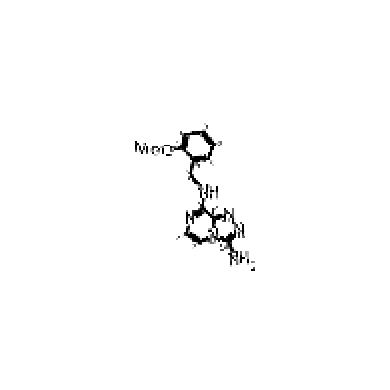 COc1ccccc1CNc1nccn2c(N)nnc12